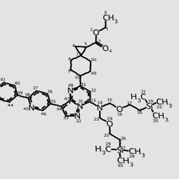 CCOC(=O)C1CC12CCC(c1cc(N(COCC[Si](C)(C)C)COCC[Si](C)(C)C)n3ncc(-c4ccc(-c5ccccc5)nc4)c3n1)CC2